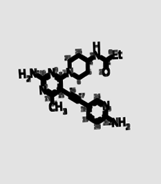 CCC(=O)NC1CCN(c2nc(N)nc(C)c2C#Cc2ccc(N)nc2)CC1